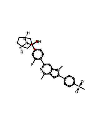 Cc1nc(-c2ccc(C3(O)C[C@H]4CC[C@@H](C3)N4C(C)C)cc2F)cc2c1cc(-c1ccc(S(C)(=O)=O)cc1)n2C